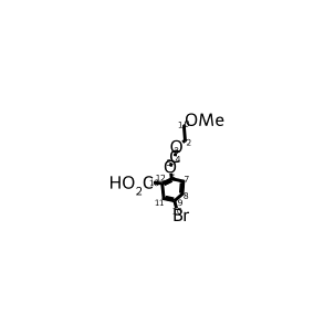 COCCOCOc1ccc(Br)cc1C(=O)O